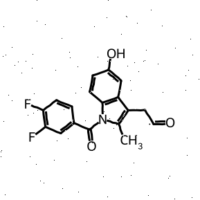 Cc1c(C[C]=O)c2cc(O)ccc2n1C(=O)c1ccc(F)c(F)c1